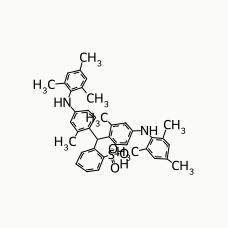 Cc1cc(C)c(Nc2ccc(C(c3ccc(Nc4c(C)cc(C)cc4C)cc3C)c3ccccc3S(=O)(=O)O)c(C)c2)c(C)c1